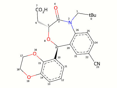 CC(C)(C)CN1C(=O)[C@@H](CC(=O)O)O[C@H](c2cccc3c2OCCO3)c2cc(C#N)ccc21